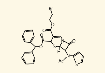 CC(=O)N(c1cccs1)C1C(=O)N2C=C(C(=O)OCCBr)C(C(=O)OC(c3ccccc3)c3ccccc3)S[C@H]12